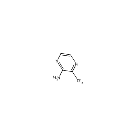 Nc1nccnc1C(F)(F)F